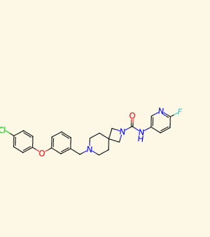 O=C(Nc1ccc(F)nc1)N1CC2(CCN(Cc3cccc(Oc4ccc(Cl)cc4)c3)CC2)C1